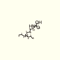 CCCN(CCC)CCCCNC(=O)O